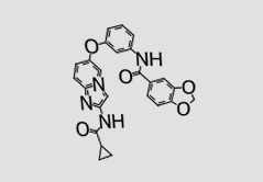 O=C(Nc1cccc(Oc2ccc3nc(NC(=O)C4CC4)cn3c2)c1)c1ccc2c(c1)OCO2